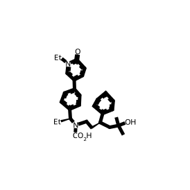 CC[C@@H](c1ccc(-c2ccc(=O)n(CC)c2)cc1)N(CC[C@H](CC(C)(C)O)c1ccccc1)C(=O)O